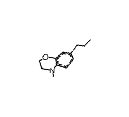 CCCc1ccc2c(c1)OCCN2C